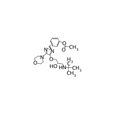 CC(=O)Oc1ccccc1.CC(C)(C)NCC(O)COc1nsnc1N1CCOCC1